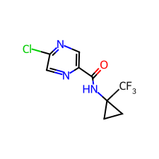 O=C(NC1(C(F)(F)F)CC1)c1cnc(Cl)cn1